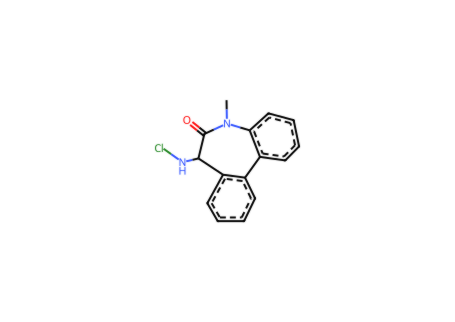 CN1C(=O)C(NCl)c2ccccc2-c2ccccc21